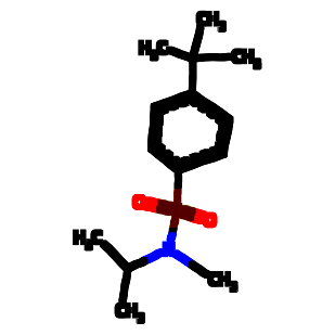 CC(C)N(C)S(=O)(=O)c1ccc(C(C)(C)C)cc1